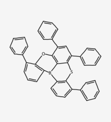 c1ccc(-c2cccc3c2Oc2c(-c4ccccc4)cc(-c4ccccc4)c4c2B3c2cccc(-c3ccccc3)c2S4)cc1